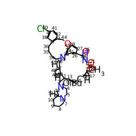 CC(C)CO[C@]1(CN2CCN3CCCC[C@@H]3C2)/C=C/C[C@@H]2C[C@@]2(C)S(=O)(=O)NC(=O)c2ccc3c(c2)N(CCCCc2cc(Cl)ccc2CO3)C[C@@H]2CC[C@H]21